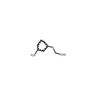 Nc1cccc(SC[C]=O)c1